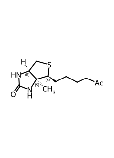 CC(=O)CCCC[C@@H]1SC[C@@H]2NC(=O)N[C@@]21C